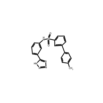 Cc1ccc(-c2cccc(S(=O)(=O)Nc3cccc(-c4nnn[nH]4)c3)c2)cc1